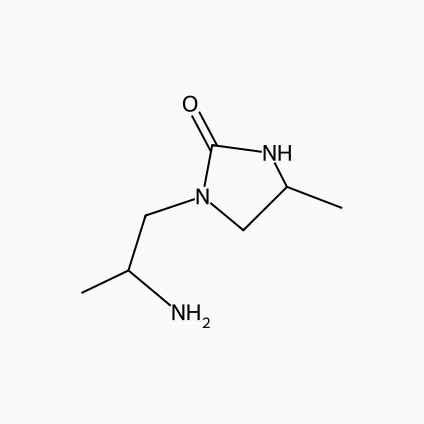 CC(N)CN1CC(C)NC1=O